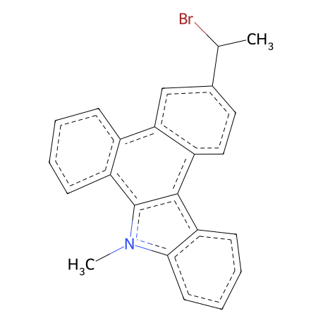 CC(Br)c1ccc2c(c1)c1ccccc1c1c2c2ccccc2n1C